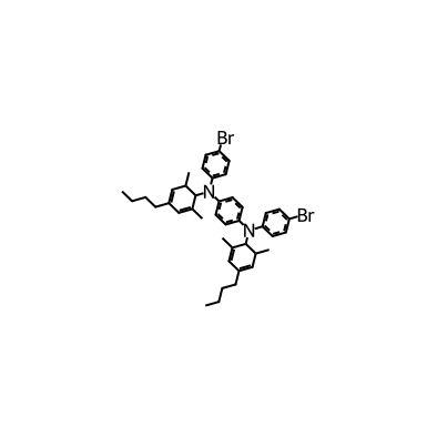 CCCCC1=CC(C)C(N(c2ccc(Br)cc2)c2ccc(N(c3ccc(Br)cc3)C3C(C)=CC(CCCC)=CC3C)cc2)C(C)=C1